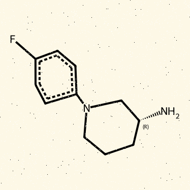 N[C@@H]1CCCN(c2ccc(F)cc2)C1